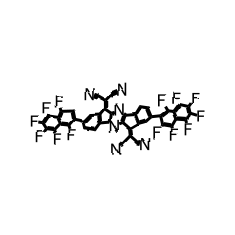 N#CC(C#N)=C1c2cc(-c3cc(F)c4c(F)c(F)c(F)c(F)c4c3F)ccc2-c2nc3c(nc21)-c1ccc(-c2c(F)c(F)c4c(F)c(F)c(F)c(F)c4c2F)cc1C3=C(C#N)C#N